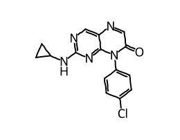 O=c1cnc2cnc(NC3CC3)nc2n1-c1ccc(Cl)cc1